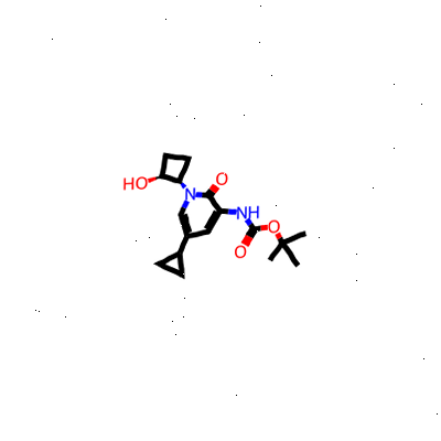 CC(C)(C)OC(=O)Nc1cc(C2CC2)cn([C@@H]2CC[C@@H]2O)c1=O